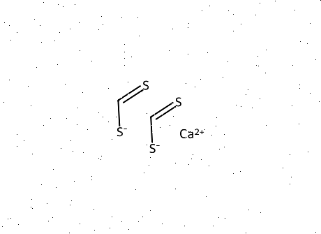 S=C[S-].S=C[S-].[Ca+2]